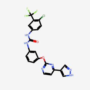 O=C(Nc1cccc(Oc2nccc(-c3cn[nH]c3)n2)c1)Nc1ccc(Cl)c(C(F)(F)F)c1